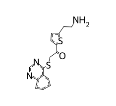 NCCc1ccc(C(=O)CSc2ncnc3ccccc23)s1